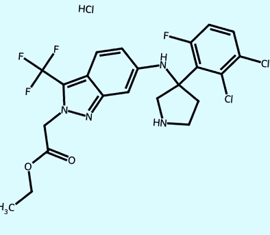 CCOC(=O)Cn1nc2cc(NC3(c4c(F)ccc(Cl)c4Cl)CCNC3)ccc2c1C(F)(F)F.Cl